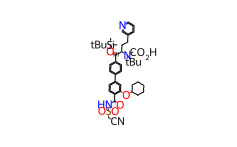 CC(C)(C)N(C(=O)O)C(CCc1cccnc1)[C@H](O[Si](C)(C)C(C)(C)C)c1ccc(-c2ccc(C(=O)NS(=O)(=O)CC#N)c(OC3CCCCC3)c2)cc1